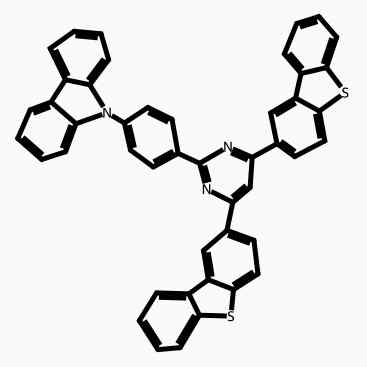 c1ccc2c(c1)sc1ccc(-c3cc(-c4ccc5sc6ccccc6c5c4)nc(-c4ccc(-n5c6ccccc6c6ccccc65)cc4)n3)cc12